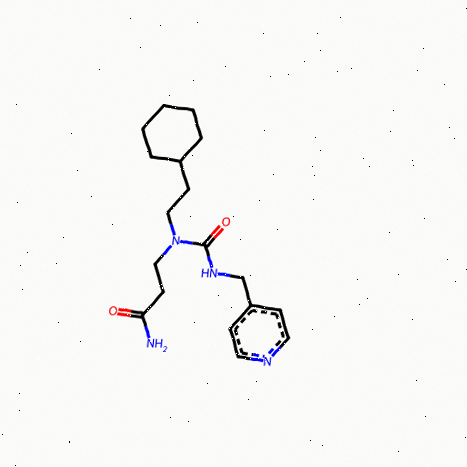 NC(=O)CCN(CCC1CCCCC1)C(=O)NCc1ccncc1